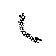 N#Cc1c[nH]c2c(N3CCC(c4ccc(N5CCC(CN6CCN(c7ccc(C(=O)NC8CCC(=O)NC8=O)c(F)c7)CC6)CC5)cc4)CC3)ccc(F)c12